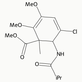 COC(=O)C1(C)C(OC)=C(OC)C=C(Cl)C1NC(=O)C(C)C